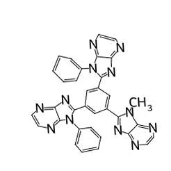 Cn1c(-c2cc(-c3nc4nccnc4n3-c3ccccc3)cc(-c3nc4nccnc4n3-c3ccccc3)c2)nc2nccnc21